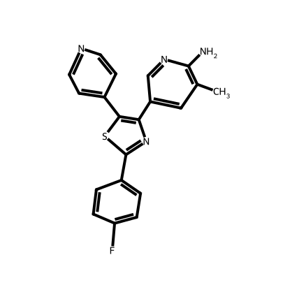 Cc1cc(-c2nc(-c3ccc(F)cc3)sc2-c2ccncc2)cnc1N